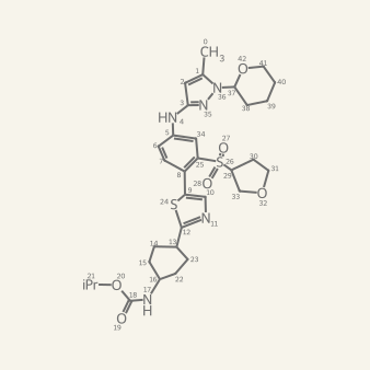 Cc1cc(Nc2ccc(-c3cnc(C4CCC(NC(=O)OC(C)C)CC4)s3)c(S(=O)(=O)C3CCOC3)c2)nn1C1CCCCO1